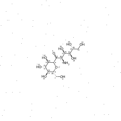 N[C@@H](C(=O)C1O[C@H](CO)[C@@H](O)[C@H](O)[C@H]1O)[C@@H](O)[C@H](O)[C@H](O)CO